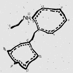 CN.c1ccc(-c2ccccc2)cc1